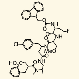 COCC(NC(=O)C(CCF)NC(=O)OCC1c2ccccc2-c2ccccc21)C(=O)N(C)C(CC(=O)NCC(C)N(C)C(=O)C(CC(=O)O)Cc1ccccc1)Cc1ccc(Cl)cc1